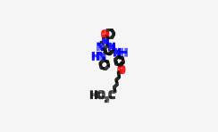 O=C(O)CCCCCCOc1ccc(Nc2cc(NC3CCCCC3)c3ncn(C4CCCCO4)c3n2)cc1